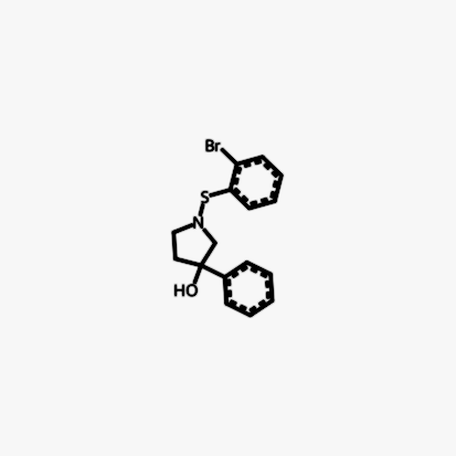 OC1(c2ccccc2)CCN(Sc2ccccc2Br)C1